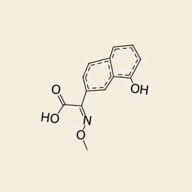 CON=C(C(=O)O)c1ccc2cccc(O)c2c1